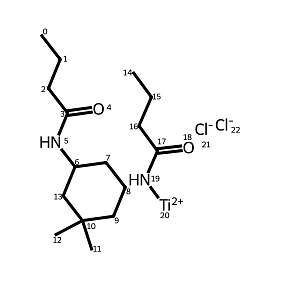 CCCC(=O)NC1CCCC(C)(C)C1.CCCC(=O)[NH][Ti+2].[Cl-].[Cl-]